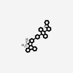 CC1(C)c2ccc(-c3ccc(-c4c5ccccc5c(-c5cccc6c5sc5ccccc56)c5ccccc45)cc3)cc2-c2c1c1ccccc1c1ccccc21